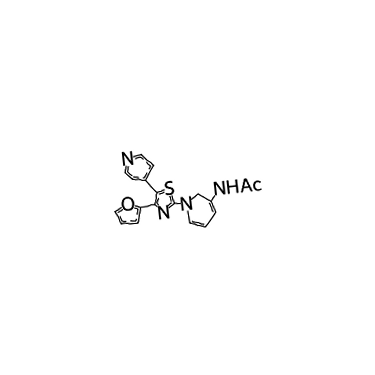 CC(=O)NC1=CC=CN(c2nc(-c3ccco3)c(-c3ccncc3)s2)C1